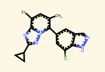 CCc1cc(C)c(-c2cc(Cl)c3[nH]ncc3c2)n2nc(C3CC3)nc12